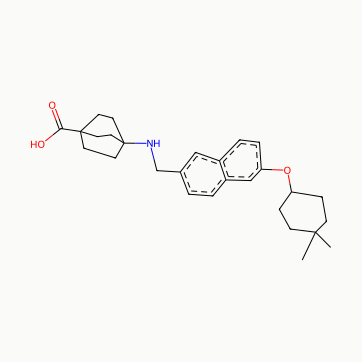 CC1(C)CCC(Oc2ccc3cc(CNC45CCC(C(=O)O)(CC4)CC5)ccc3c2)CC1